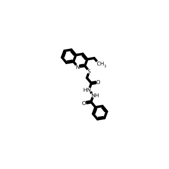 CCc1cc2ccccc2nc1SCC(=O)NNC(=O)c1ccccc1